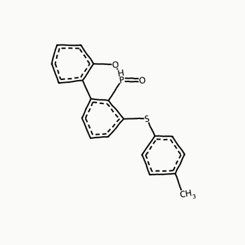 Cc1ccc(Sc2cccc3c2[PH](=O)Oc2ccccc2-3)cc1